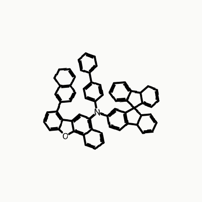 C1=CCC2C(=C1)C1(c3ccccc32)c2cc(N(c3ccc(-c4ccccc4)cc3)c3cc4c(oc5cccc(-c6ccc7c(c6)CCC=C7)c54)c4ccccc34)ccc2C2C=CC=CC21